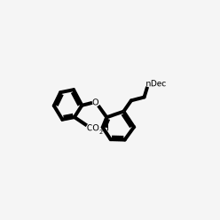 CCCCCCCCCCCCc1ccccc1Oc1ccccc1C(=O)O